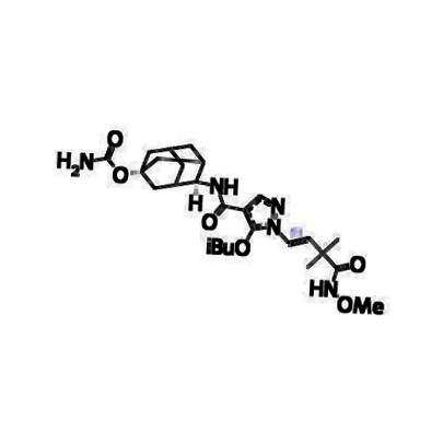 CONC(=O)C(C)(C)/C=C/n1ncc(C(=O)N[C@H]2C3CC4CC2C[C@](OC(N)=O)(C4)C3)c1OCC(C)C